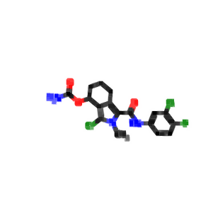 Cn1c(Cl)c2c(c1C(=O)Nc1ccc(F)c(Cl)c1)CCCC2OC(N)=O